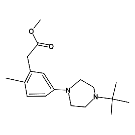 COC(=O)Cc1cc(N2CCN(C(C)(C)C)CC2)ccc1C